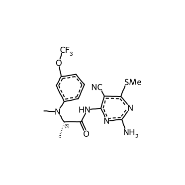 CSc1nc(N)nc(NC(=O)[C@H](C)N(C)c2cccc(OC(F)(F)F)c2)c1C#N